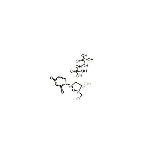 O=P(O)(O)O.O=P(O)(O)O.O=c1ccn([C@H]2C[C@H](O)[C@@H](CO)O2)c(=O)[nH]1